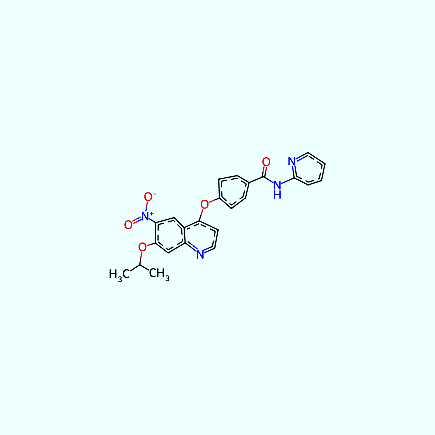 CC(C)Oc1cc2nccc(Oc3ccc(C(=O)Nc4ccccn4)cc3)c2cc1[N+](=O)[O-]